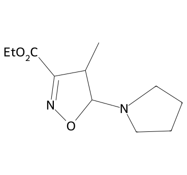 CCOC(=O)C1=NOC(N2CCCC2)C1C